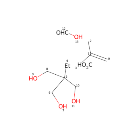 C=C(C)C(=O)O.CCC(CO)(CO)CO.O=CO